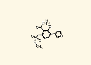 COc1c(-c2ccoc2)ccc(CS(=O)(=O)OC)c1C(=O)O